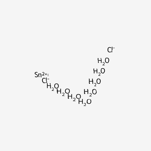 O.O.O.O.O.O.O.O.[Cl-].[Cl-].[Sn+2]